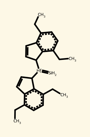 CCc1ccc(CC)c2c1C=C[CH]2[Hf](=[SiH2])[CH]1C=Cc2c(CC)ccc(CC)c21